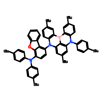 CC(C)(C)c1ccc(N2c3ccc(C(C)(C)C)cc3B3c4cc(C(C)(C)C)ccc4N(c4ccc(N(c5ccc(C(C)(C)C)cc5)c5ccc(C(C)(C)C)cc5)c5oc6ccccc6c45)c4cc(C(C)(C)C)cc2c43)cc1